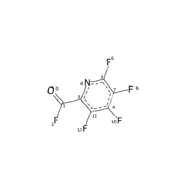 O=C(F)c1nc(F)c(F)c(F)c1F